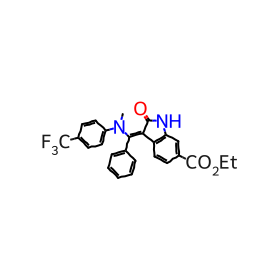 CCOC(=O)c1ccc2c(c1)NC(=O)/C2=C(/c1ccccc1)N(C)c1ccc(C(F)(F)F)cc1